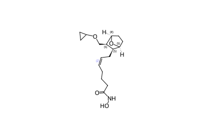 O=C(CCC/C=C\C[C@H]1[C@@H](COC2CC2)[C@H]2CC[C@@H]1O2)NO